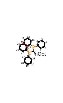 CCCCCCCCC(P(c1ccccc1)c1ccccc1)P(c1ccccc1)c1ccccc1